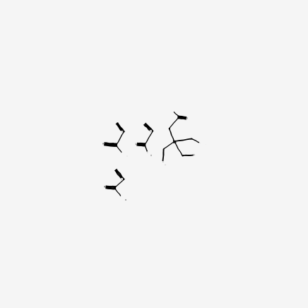 C=CC(=O)O.C=CC(=O)O.C=CC(=O)O.O=C(O)CC(CO)(CO)CO